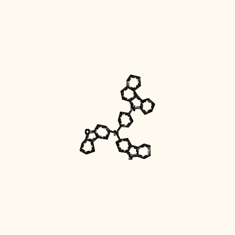 c1ccc2c(c1)ccc1c2c2ccccc2n1-c1ccc(N(c2ccc3oc4ccccc4c3c2)c2ccc3sc4ccccc4c3c2)cc1